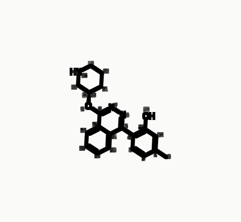 Cc1ccc(-c2nnc(O[C@@H]3CCCNC3)c3ccccc23)c(O)c1